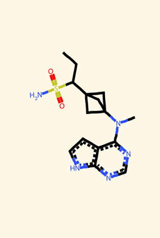 CCC(C12CC(N(C)c3ncnc4[nH]ccc34)(C1)C2)S(N)(=O)=O